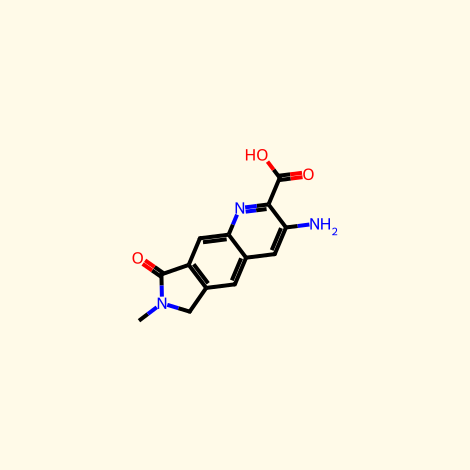 CN1Cc2cc3cc(N)c(C(=O)O)nc3cc2C1=O